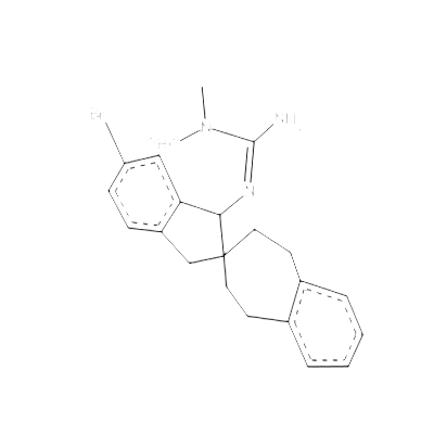 CN(C=O)/C(N)=N\C1c2cc(Br)ccc2CC12CCc1ccccc1CC2